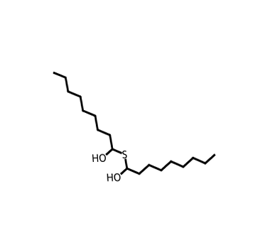 CCCCCCCCC(O)SC(O)CCCCCCCC